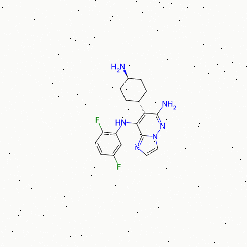 Nc1nn2ccnc2c(Nc2cc(F)ccc2F)c1[C@H]1CC[C@H](N)CC1